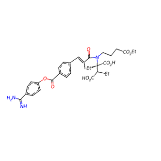 CCOC(=O)CCCN(C(=O)/C(C)=C/c1ccc(C(=O)Oc2ccc(C(=N)N)cc2)cc1)[C@](CC)(C(=O)O)C(CC)C(=O)O